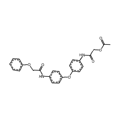 CC(=O)OCC(=O)Nc1ccc(Oc2ccc(NC(=O)COc3ccccc3)cc2)cc1